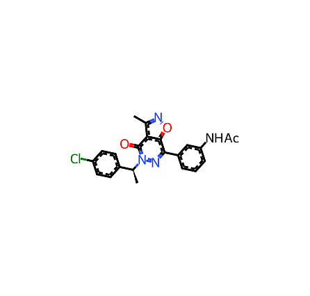 CC(=O)Nc1cccc(-c2nn([C@@H](C)c3ccc(Cl)cc3)c(=O)c3c(C)noc23)c1